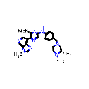 CNc1nc(Nc2ccc(CN3CCN(C)[C@@H](C)C3)cc2)cnc1-c1cncc2c1ncn2C